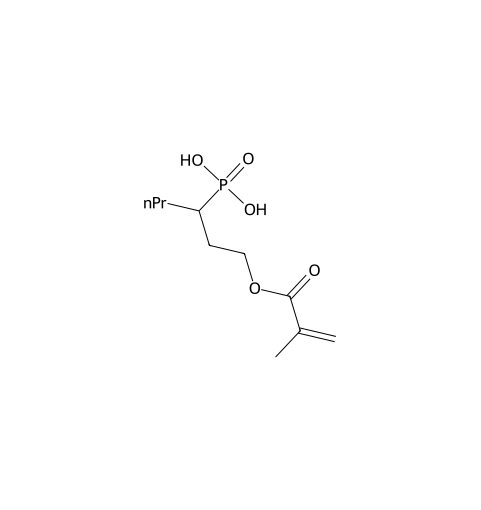 C=C(C)C(=O)OCCC(CCC)P(=O)(O)O